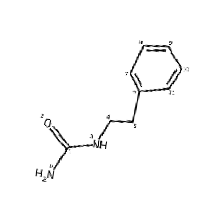 NC(=O)NC[CH]c1ccccc1